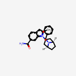 Cc1cc2ccc(C(N)=O)cc2n1C1C[C@H]2CC[C@@H](C1)N2Cc1ccccc1